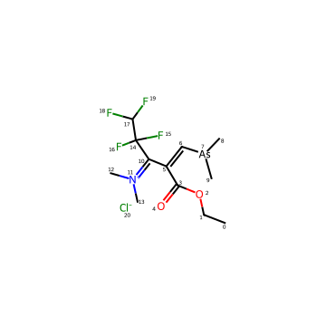 CCOC(=O)C(=C[As](C)C)C(=[N+](C)C)C(F)(F)C(F)F.[Cl-]